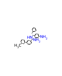 CC1C=CC=C(c2cccc(C(N)N[C@H](Cc3ccccc3)c3ccc(N)cc3)c2)C1